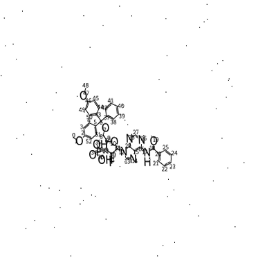 COc1ccc(C(OC[C@H]2O[C@@H](n3cnc4c(NC(=O)c5ccccc5)ncnc43)[C@@H](F)[C@@H]2P(=O)(O)O)(c2ccccc2)c2ccc(OC)cc2)cc1